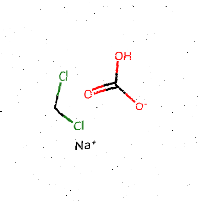 ClCCl.O=C([O-])O.[Na+]